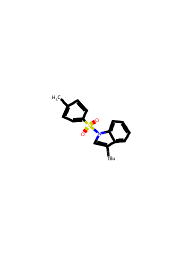 Cc1ccc(S(=O)(=O)n2cc(C(C)(C)C)c3ccccc32)cc1